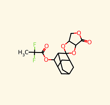 CC(F)(F)C(=O)OC1C2CC3CC(C2)C2(OC4COC(=O)C4O2)C1C3